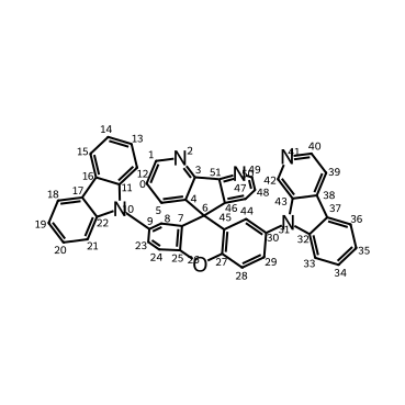 c1cnc2c(c1)C1(c3cc(-n4c5ccccc5c5ccccc54)ccc3Oc3ccc(-n4c5ccccc5c5ccncc54)cc31)c1cccnc1-2